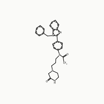 O=C1CN(CCCN(C(=O)C(F)(F)F)c2ccc(-c3nc4ccccc4n3Cc3ccccc3)cc2)CCN1